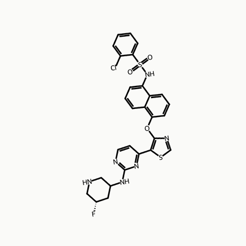 O=S(=O)(Nc1cccc2c(Oc3ncsc3-c3ccnc(NC4CNC[C@@H](F)C4)n3)cccc12)c1ccccc1Cl